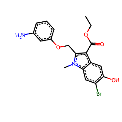 CCOC(=O)c1c(COc2cccc(N)c2)n(C)c2cc(Br)c(O)cc12